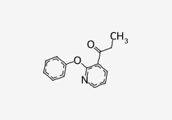 CCC(=O)c1cccnc1Oc1ccccc1